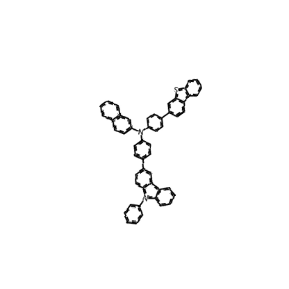 c1ccc(-n2c3ccccc3c3cc(-c4ccc(N(c5ccc(-c6ccc7c(c6)sc6ccccc67)cc5)c5ccc6ccccc6c5)cc4)ccc32)cc1